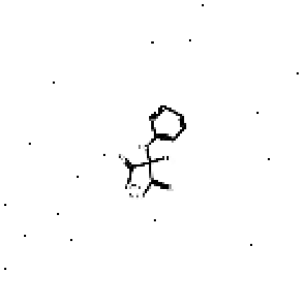 COC(=O)C(C)(Nc1ccccc1)C(=O)OC